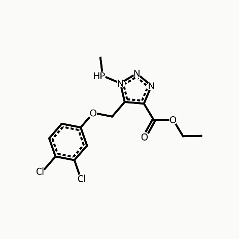 CCOC(=O)c1nnn(PC)c1COc1ccc(Cl)c(Cl)c1